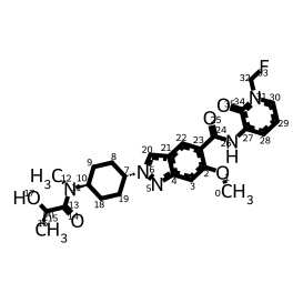 COc1cc2nn([C@H]3CC[C@H](N(C)C(=O)[C@@H](C)O)CC3)cc2cc1C(=O)Nc1cccn(CF)c1=O